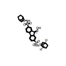 O=S(=O)(N[C@H]1CC2CCC1C2)c1ccc2c(c1)/C(=N\O)c1cc(S(=O)(=O)N[C@@H]3C[C@H]4CC[C@@H]3C4)ccc1-2